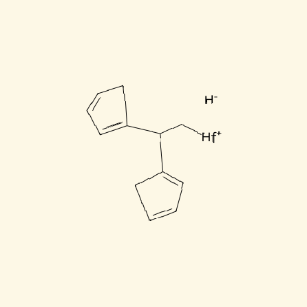 [H-].[Hf+][CH2]C(C1=CC=CC1)C1=CC=CC1